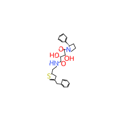 O=C(NCCC1CC(Cc2ccccc2)=CS1)[C@H](O)[C@@H](O)C(=O)N1CCC[C@@H]1c1ccccc1